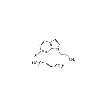 NCCn1ccc2ccc(Br)cc21.O=C(O)C=CC(=O)O